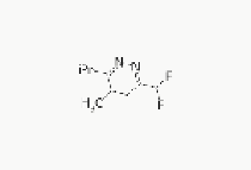 CC(C)C1=NN=C(C(F)F)CC1C